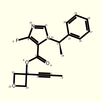 CC#CC1(OC(=O)c2c(F)ncn2[C@H](C)c2ccccc2)COC1